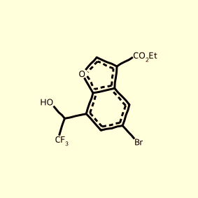 CCOC(=O)c1coc2c(C(O)C(F)(F)F)cc(Br)cc12